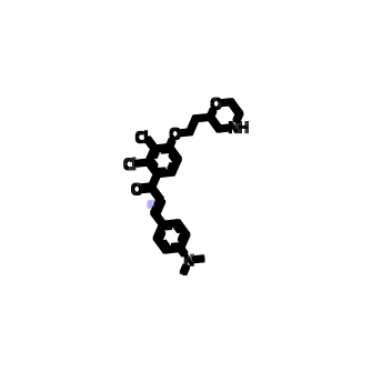 CN(C)c1ccc(/C=C/C(=O)c2ccc(OCCC3CNCCO3)c(Cl)c2Cl)cc1